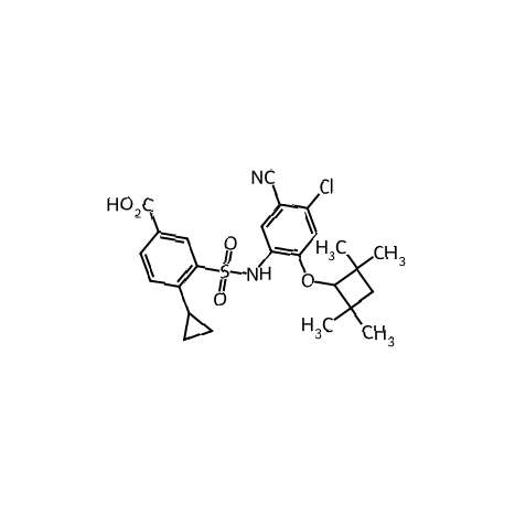 CC1(C)CC(C)(C)C1Oc1cc(Cl)c(C#N)cc1NS(=O)(=O)c1cc(C(=O)O)ccc1C1CC1